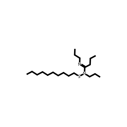 CCCCCCCCCCSN(CCC)C(CCC)=NCCC